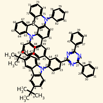 CC(C)(C)c1ccc2c(c1)c1cc(C(C)(C)C)ccc1n2-c1ccc(-c2nc(-c3ccccc3)nc(-c3ccccc3)n2)cc1-c1cccc(-c2ccc3c4c2N(c2ccccc2)c2ccccc2B4c2ccccc2N3c2ccccc2)c1